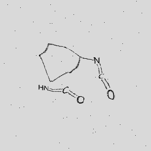 N=C=O.O=C=NC1CCCCC1